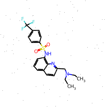 CCN(CC)Cc1ccc2cccc(NS(=O)(=O)c3ccc(C(F)(F)F)cc3)c2n1